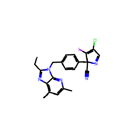 CCc1nc2c(C)cc(C)nc2n1Cc1ccc(C2(C#N)N=CC(Cl)=C2I)cc1